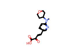 CN(c1ccc(C=CC(=O)C(=O)O)cn1)C1CCOCC1